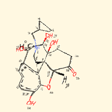 C[N@+]1(CC2CC2)CC[C@]23c4c5ccc(O)c4O[C@H]2C(=O)CC[C@@]3(O)[C@@]1(O)C5O